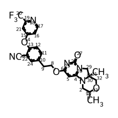 C[C@H]1CN2c3cc(OCCc4ccc(Oc5ccnc(C(F)(F)F)c5)c(C#N)c4)nc(=O)n3C[C@]2(C)CO1